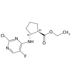 CCOC(=O)[C@@H]1CCC[C@H]1Nc1nc(Cl)ncc1F